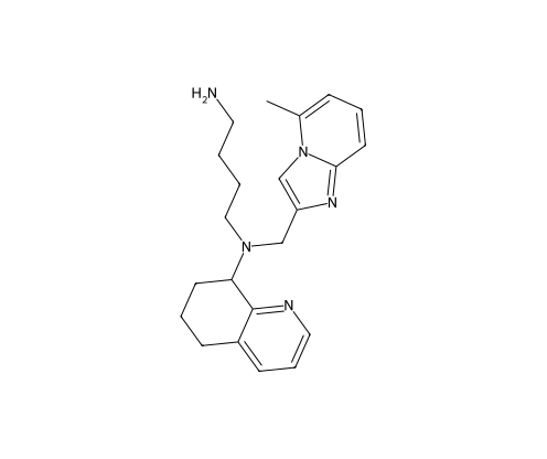 Cc1cccc2nc(CN(CCCCN)C3CCCc4cccnc43)cn12